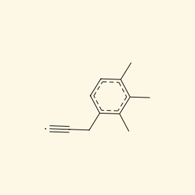 [C]#CCc1ccc(C)c(C)c1C